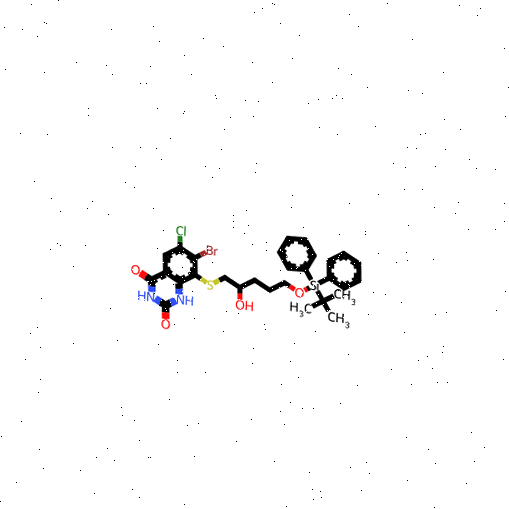 CC(C)(C)[Si](OCCCC(O)CSc1c(Br)c(Cl)cc2c(=O)[nH]c(=O)[nH]c12)(c1ccccc1)c1ccccc1